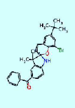 CC(C)(C)c1cc(Br)c2c(c1)C=CC1(Nc3ccc(C(=O)c4ccccc4)cc3C1(C)C)O2